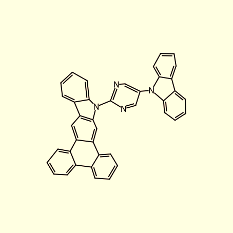 c1ccc2c(c1)c1ccccc1c1cc3c(cc21)c1ccccc1n3-c1ncc(-n2c3ccccc3c3ccccc32)cn1